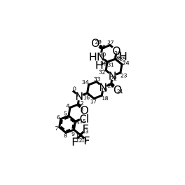 CN(C(=O)Cc1cccc(C(F)(F)F)c1Cl)C1CCN(C(=O)N2CC[C@@H]3OCC(=O)N[C@@H]3C2)CC1